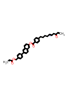 C=CC(=O)C/C=C/CCCCc1ccc(C(=O)Oc2ccc3cc(-c4ccc(COC(=O)C=C)cc4)ccc3c2)cc1